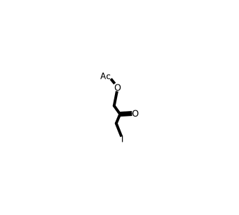 CC(=O)OCC(=O)CI